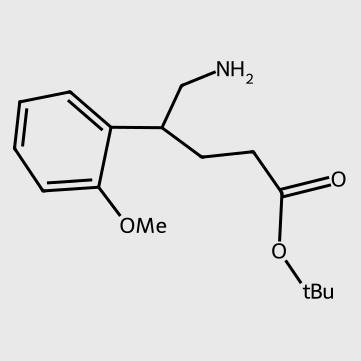 COc1ccccc1C(CN)CCC(=O)OC(C)(C)C